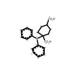 O=C(O)C1CCC(C(=O)O)(N(c2ccccc2)c2ccccc2)CC1